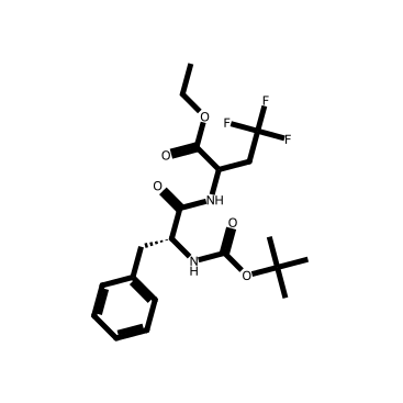 CCOC(=O)C(CC(F)(F)F)NC(=O)[C@@H](Cc1ccccc1)NC(=O)OC(C)(C)C